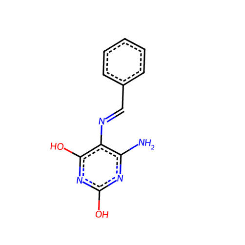 Nc1nc(O)nc(O)c1/N=C/c1ccccc1